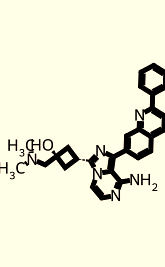 CN(C)C[C@]1(O)C[C@H](c2nc(-c3ccc4ccc(-c5ccccc5)nc4c3)c3c(N)nccn32)C1